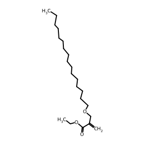 C=C(COCCCCCCCCCCCCCCCC)C(=O)OCC